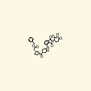 O=C1CCC(N2C(=O)c3cccc(NC4CCC(C(=O)N5CC[C@@H](CC(=O)OCc6ccccc6)C5)CC4)c3C2=O)C(=O)N1